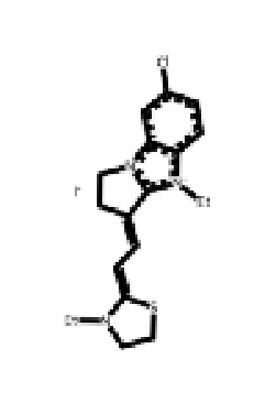 CCN1CCSC1=CC=C1CCn2c1[n+](CC)c1ccc(Cl)cc12.[I-]